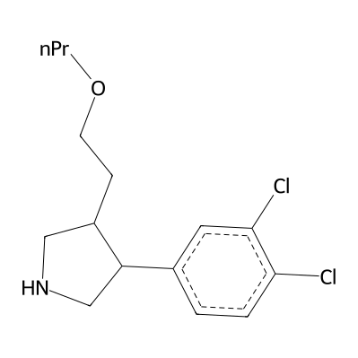 CCCOCCC1CNCC1c1ccc(Cl)c(Cl)c1